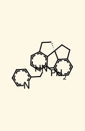 Pc1cccc2c1[C@@]1(CC2)CCc2cccc(NCc3ccccn3)c21